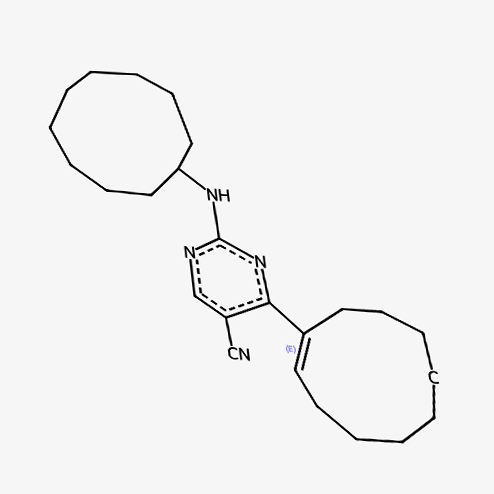 N#Cc1cnc(NC2CCCCCCCCC2)nc1/C1=C/CCCCCCCC1